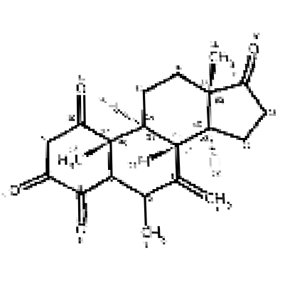 C=C1C(C)C2C(=O)C(=O)CC(=O)[C@]2(C)[C@H]2CC[C@]3(C)C(=O)CC[C@H]3[C@H]12